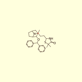 CC(CCC1NC(=O)C(C)(C)S1)N1C2CCC(OC(c3ccccc3)c3ccccc3)C1CC2